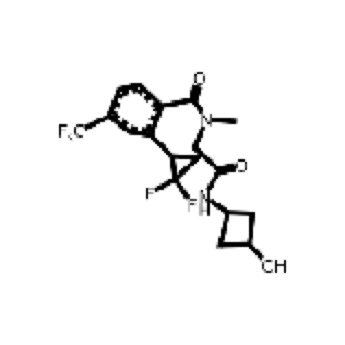 CN(CC(=O)NC1CC(O)C1)C(=O)c1ccc(C(F)(F)F)cc1C1CC1(F)F